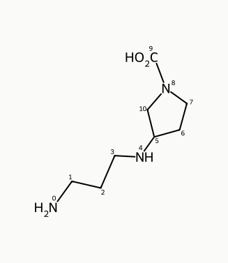 NCCCNC1CCN(C(=O)O)C1